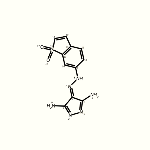 NC1=NN=C(N)C1=NNc1ccc2c(c1)S(=O)(=O)C=C2